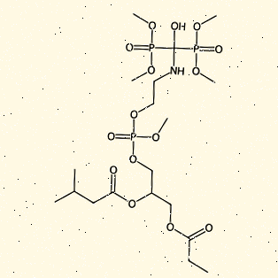 CCC(=O)OCC(COP(=O)(OC)OCCNC(O)(P(=O)(OC)OC)P(=O)(OC)OC)OC(=O)CC(C)C